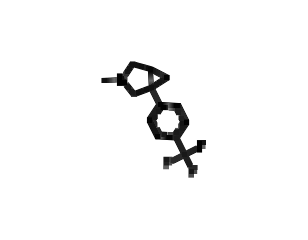 CN1CC2CC2(c2ccc(C(F)(F)F)cc2)C1